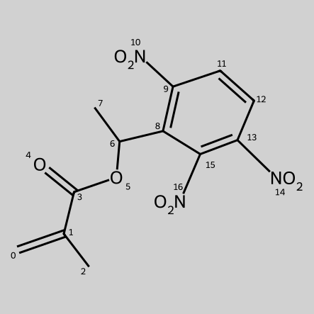 C=C(C)C(=O)OC(C)c1c([N+](=O)[O-])ccc([N+](=O)[O-])c1[N+](=O)[O-]